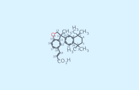 CC1(C)CCC(C)(C)c2cc(C3(C)COc4ccc(C=CC(=O)O)cc43)ccc21